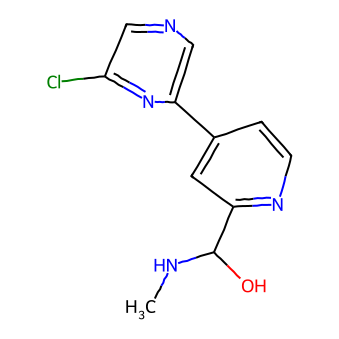 CNC(O)c1cc(-c2cncc(Cl)n2)ccn1